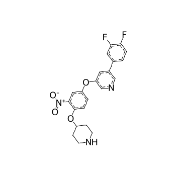 O=[N+]([O-])c1cc(Oc2cncc(-c3ccc(F)c(F)c3)c2)ccc1OC1CCNCC1